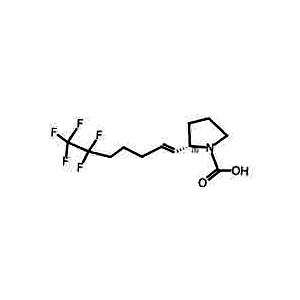 O=C(O)N1CCC[C@H]1C=CCCCC(F)(F)C(F)(F)F